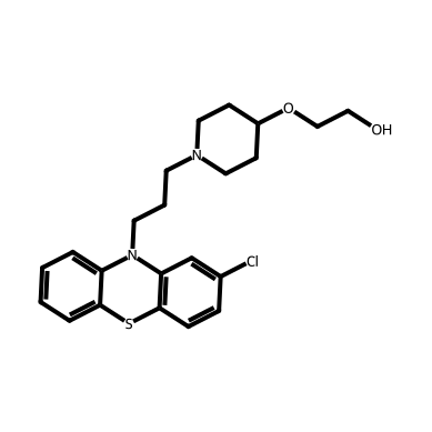 OCCOC1CCN(CCCN2c3ccccc3Sc3ccc(Cl)cc32)CC1